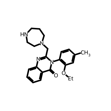 CCOc1cc(C)ccc1-n1c(CN2CCCNCC2)nc2ccccc2c1=O